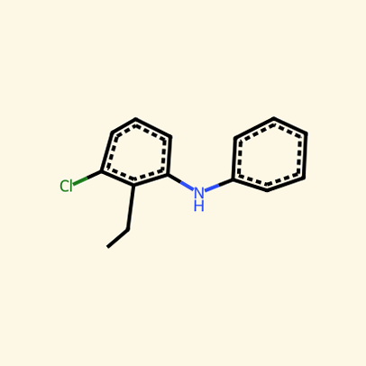 CCc1c(Cl)cccc1Nc1ccccc1